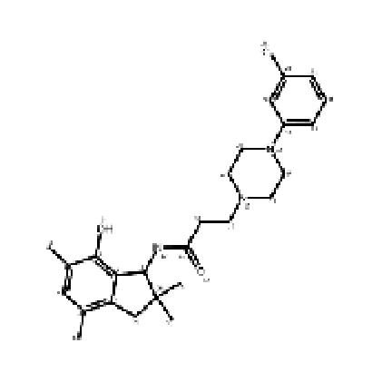 Cc1cc(C)c2c(c1O)C(NC(=O)CCN1CCN(c3cccc(Cl)c3)CC1)C(C)(C)C2